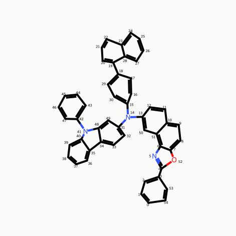 c1ccc(-c2nc3c(ccc4ccc(N(c5ccc(-c6cccc7ccccc67)cc5)c5ccc6c7ccccc7n(-c7ccccc7)c6c5)cc43)o2)cc1